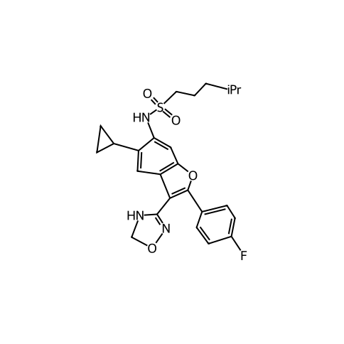 CC(C)CCCS(=O)(=O)Nc1cc2oc(-c3ccc(F)cc3)c(C3=NOCN3)c2cc1C1CC1